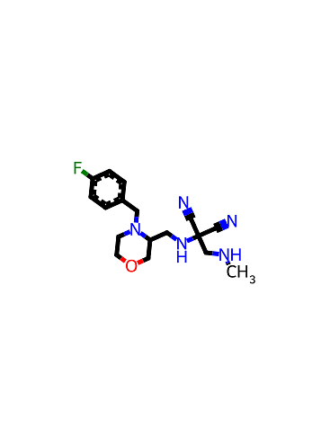 CNCC(C#N)(C#N)NCC1COCCN1Cc1ccc(F)cc1